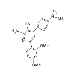 COc1ccc(-c2cc(-c3ccc(N(C)C)cc3)c(C#N)c(N)n2)c(OC)c1